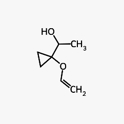 C=COC1(C(C)O)CC1